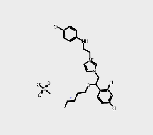 C/C=C/CCOC(Cn1cc[n+](CCNc2ccc(Cl)cc2)c1)c1ccc(Cl)cc1Cl.CS(=O)(=O)[O-]